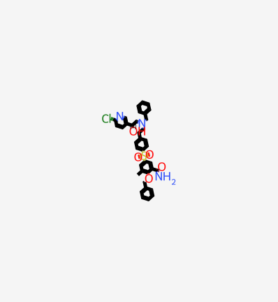 Cc1cc(S(=O)(=O)c2ccc(CCN(Cc3ccccc3)C[C@@H](O)c3ccc(Cl)nc3)cc2)cc(C(N)=O)c1OCc1ccccc1